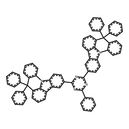 c1ccc(-c2nc(-c3ccc4c(c3)c3cccc5c3n4-c3ccccc3C5(c3ccccc3)c3ccccc3)nc(-c3ccc4c(c3)c3cccc5c3n4-c3ccccc3C5(c3ccccc3)c3ccccc3)n2)cc1